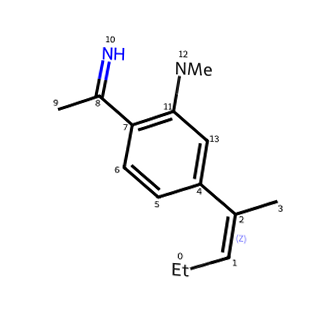 CC/C=C(/C)c1ccc(C(C)=N)c(NC)c1